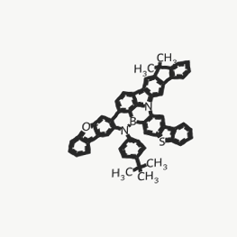 CC(C)(C)c1ccc(N2B3c4cc5sc6ccccc6c5cc4-n4c5cc6c(cc5c5ccc(c3c54)-c3cc4oc5ccccc5c4cc32)C(C)(C)c2ccccc2-6)cc1